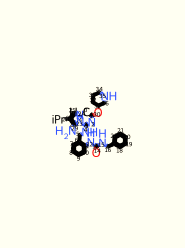 C=C(/N=C(/NCc1ccccc1NC(=O)NCc1ccccc1)n1ncc(C(C)C)c1N)O[C@@H]1CCCNC1